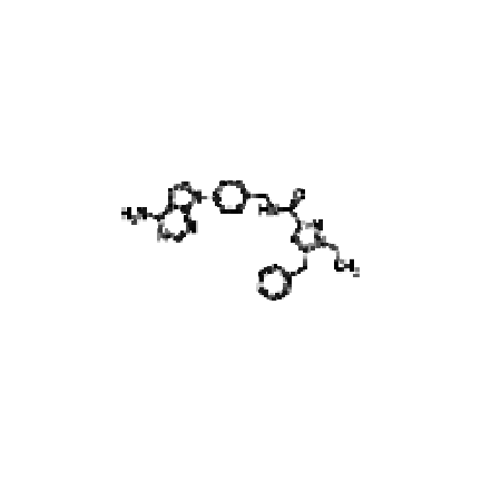 CCn1nc(C(=O)NCc2ccc(-n3ccc4c(N)ncnc43)cc2)cc1Cc1ccccc1